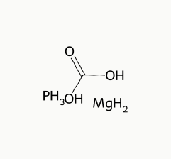 O=C(O)O.P.[MgH2]